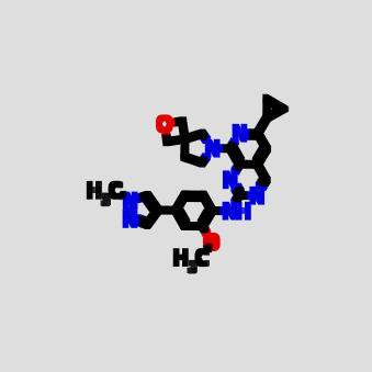 COc1cc(-c2cnn(C)c2)ccc1Nc1ncc2cc(C3CC3)nc(N3CCC4(COC4)C3)c2n1